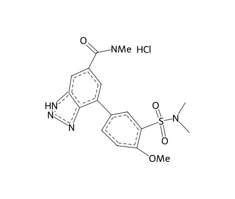 CNC(=O)c1cc(-c2ccc(OC)c(S(=O)(=O)N(C)C)c2)c2nn[nH]c2c1.Cl